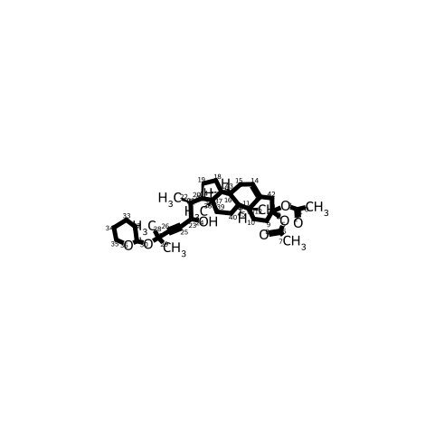 CC(=O)OC1(OC(C)=O)CC[C@@]2(C)C(=CC[C@H]3[C@@H]4CC[C@H]([C@H](C)C(O)C#CC(C)(C)OC5CCCCO5)[C@@]4(C)CC[C@@H]32)C1